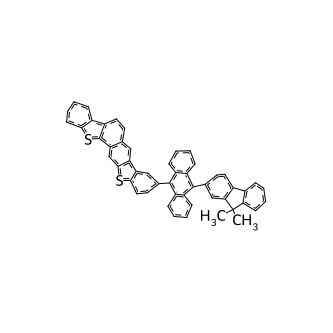 CC1(C)c2ccccc2-c2ccc(-c3c4ccccc4c(-c4ccc5sc6cc7c(ccc8c9ccccc9sc78)cc6c5c4)c4ccccc34)cc21